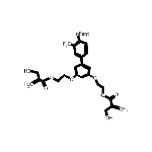 C=C(CO)C(=O)OCCOc1cc(OCCOC(=O)C(=C)CO)cc(-c2ccc(CCCCC)c(C(F)(F)F)c2)c1